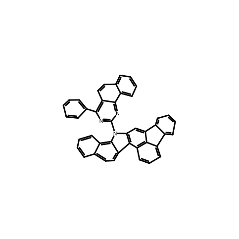 c1ccc(-c2nc(-n3c4cc5c6c(cccc6c4c4ccc6ccccc6c43)-c3ccccc3-5)nc3c2ccc2ccccc23)cc1